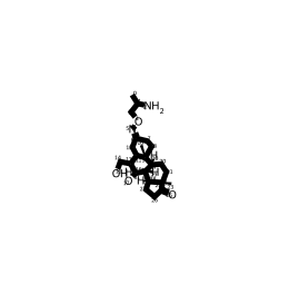 CC(N)CON=C1CC[C@@]2(C)C(C1)C(CO)C(O)[C@@H]1[C@H]2CC[C@]2(C)C(=O)CC[C@@H]12